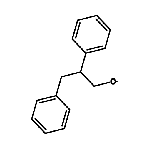 [O]CC(Cc1ccccc1)c1ccccc1